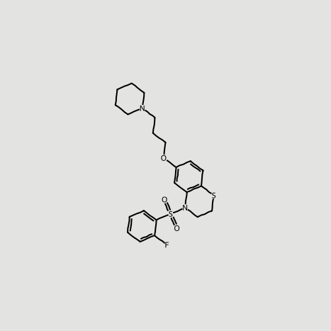 O=S(=O)(c1ccccc1F)N1CCSc2ccc(OCCCN3CCCCC3)cc21